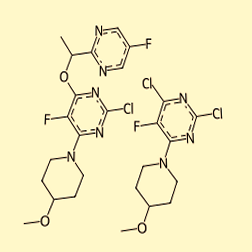 COC1CCN(c2nc(Cl)nc(Cl)c2F)CC1.COC1CCN(c2nc(Cl)nc(OC(C)c3ncc(F)cn3)c2F)CC1